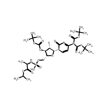 CC(C)OC(=O)C(C)NP(=O)(O)OC[C@H]1S[C@@H](n2ccc(N(C(=O)OC(C)(C)C)C(=O)OC(C)(C)C)nc2=O)[C@@H](F)[C@@H]1OC(=O)OC(C)(C)C